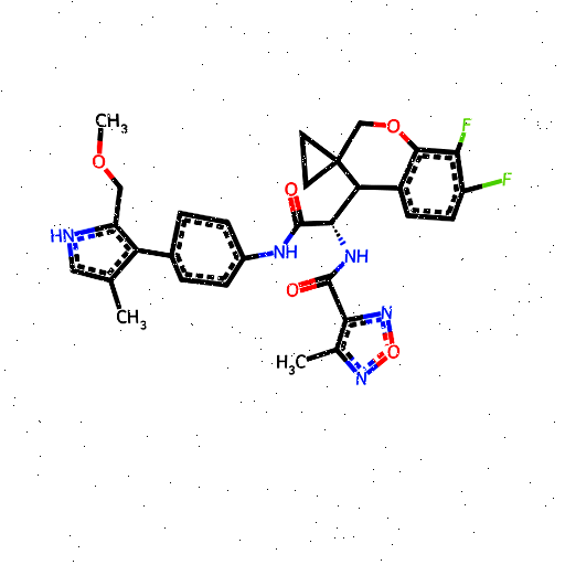 COCc1[nH]cc(C)c1-c1ccc(NC(=O)[C@@H](NC(=O)c2nonc2C)C2c3ccc(F)c(F)c3OCC23CC3)cc1